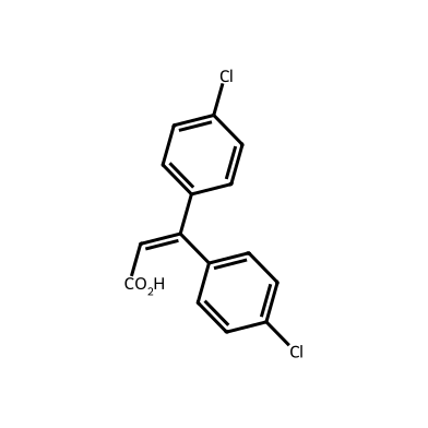 O=C(O)C=C(c1ccc(Cl)cc1)c1ccc(Cl)cc1